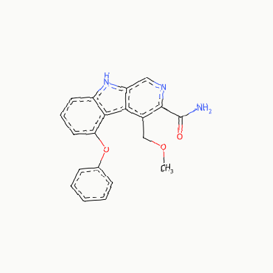 COCc1c(C(N)=O)ncc2[nH]c3cccc(Oc4ccccc4)c3c12